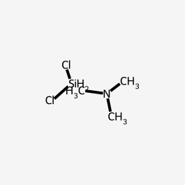 CN(C)C.Cl[SiH2]Cl